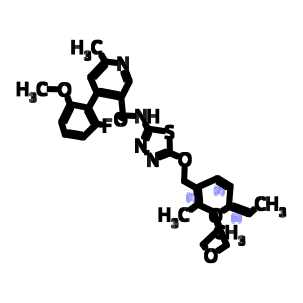 C\C=C(/C=C\C(COc1nnc(NC(=O)c2cnc(C)cc2-c2c(F)cccc2OC)s1)=C(\C)CC)OC1COC1